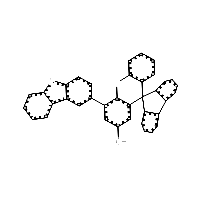 Cc1cc(-c2ccc3sc4ccccc4c3c2)c2c(c1)C1(c3ccccc3S2)c2ccccc2-c2ccccc21